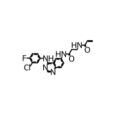 C=CC(=O)NCCC(=O)Nc1ccc2ncnc(Nc3ccc(F)c(Cl)c3)c2c1